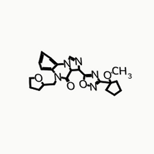 COC1(c2noc(C3N=CN4c5ccccc5N(CC5CCCO5)C(=O)C34)n2)CCCC1